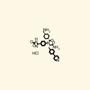 Cl.NC[C@H]1CC[C@H](C(=O)N(c2ccc(-c3noc(=O)[nH]3)cc2)[C@@H](Cc2ccc(-c3ccncc3)cc2)C(N)=O)CC1